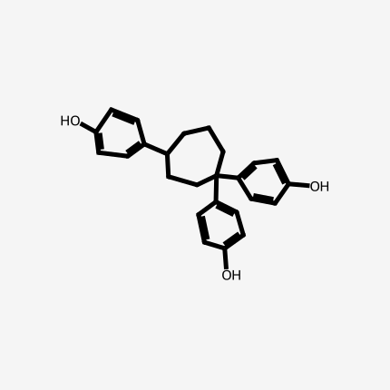 Oc1ccc(C2CCCC(c3ccc(O)cc3)(c3ccc(O)cc3)CC2)cc1